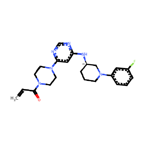 C=CC(=O)N1CCN(c2cc(N[C@@H]3CCCN(c4cccc(F)c4)C3)ncn2)CC1